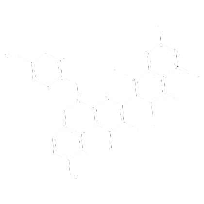 COc1ccc(CN(Cc2ccc(OC)cc2)c2cc(C)c(C(F)(F)F)c(-c3c(Cl)c(F)c4c(=O)[nH]c(Cl)nc4c3F)n2)cc1